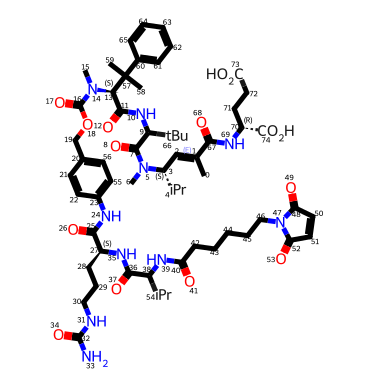 C/C(=C\[C@H](C(C)C)N(C)C(=O)C(NC(=O)[C@@H](N(C)C(=O)OCc1ccc(NC(=O)[C@H](CCCNC(N)=O)NC(=O)C(NC(=O)CCCCCN2C(=O)C=CC2=O)C(C)C)cc1)C(C)(C)c1ccccc1)C(C)(C)C)C(=O)N[C@H](CCC(=O)O)C(=O)O